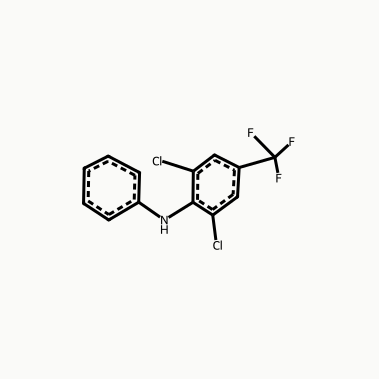 FC(F)(F)c1cc(Cl)c(Nc2ccccc2)c(Cl)c1